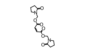 O=C(/C=C\C(=O)OCN1CCCC1=O)OCN1CCCC1=O